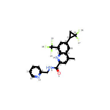 Cc1cc(C(=O)NCc2ccccn2)nc2c(C(F)(F)F)cc(C3CC3(F)F)cc12